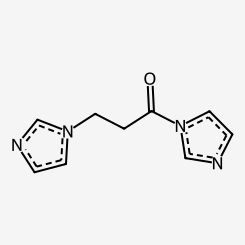 O=C(CCn1ccnc1)n1ccnc1